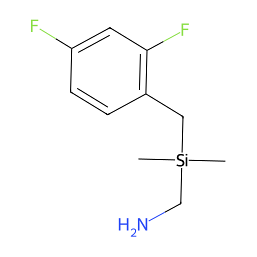 C[Si](C)(CN)Cc1ccc(F)cc1F